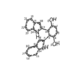 Oc1ccc(O)c(-c2cc3ccccc3[nH]2)c1-c1cc2ccccc2[nH]1